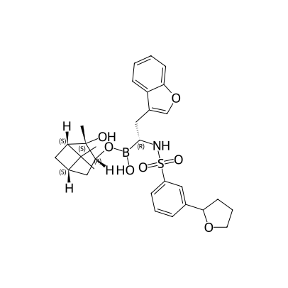 CC1(C)[C@@H]2C[C@@H](OB(O)[C@H](Cc3coc4ccccc34)NS(=O)(=O)c3cccc(C4CCCO4)c3)[C@@](C)(O)[C@H]1C2